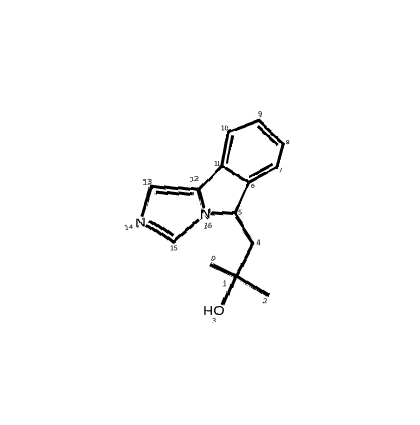 CC(C)(O)CC1c2ccccc2-c2cncn21